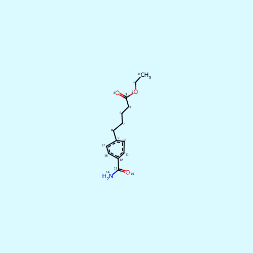 CCOC(=O)CCCCc1ccc(C(N)=O)cc1